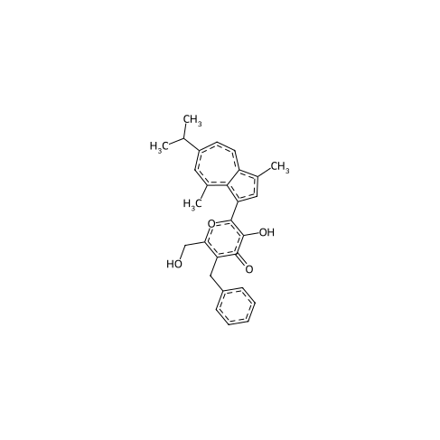 Cc1cc(-c2oc(CO)c(Cc3ccccc3)c(=O)c2O)c2c(C)cc(C(C)C)ccc1-2